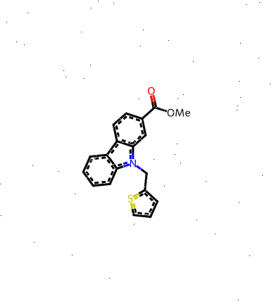 COC(=O)c1ccc2c3ccccc3n(Cc3cccs3)c2c1